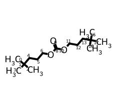 CC(C)(C)CCCOC(=O)OCCCC(C)(C)C